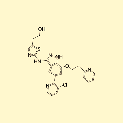 OCCc1cnc(Nc2n[nH]c3c(OCCc4ccccn4)cc(-c4ncccc4Cl)cc23)s1